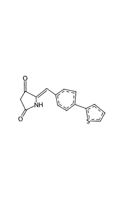 O=C1CC(=O)/C(=C/c2ccc(-c3cccs3)cc2)N1